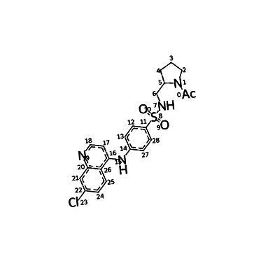 CC(=O)N1CCCC1CNS(=O)(=O)c1ccc(Nc2ccnc3cc(Cl)ccc23)cc1